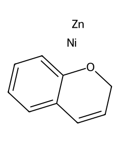 C1=Cc2ccccc2OC1.[Ni].[Zn]